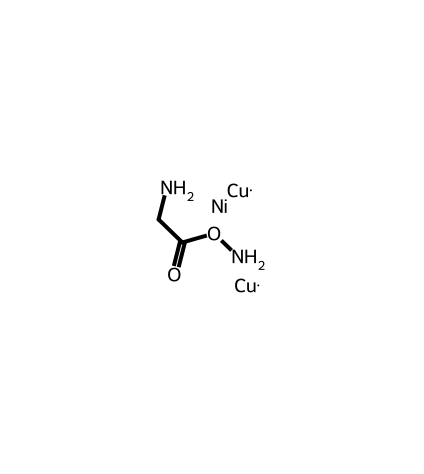 NCC(=O)ON.[Cu].[Cu].[Ni]